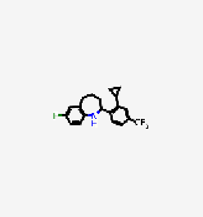 Fc1ccc2c(c1)CCCC(c1ccc(C(F)(F)F)cc1C1CC1)N2